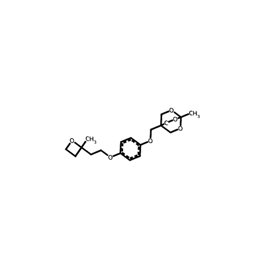 CC1(CCOc2ccc(OCC34COC(C)(OC3)OC4)cc2)CCO1